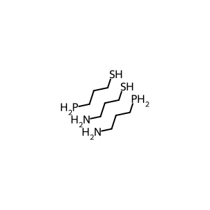 NCCCP.NCCCS.PCCCS